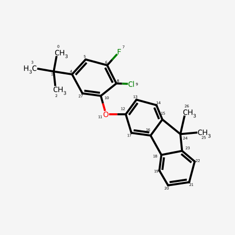 CC(C)(C)c1cc(F)c(Cl)c(Oc2ccc3c(c2)-c2ccccc2C3(C)C)c1